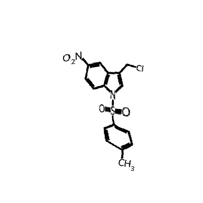 Cc1ccc(S(=O)(=O)n2cc(CCl)c3cc([N+](=O)[O-])ccc32)cc1